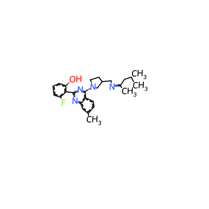 CC(CC(C)C)=NCC1CCN(c2nc(-c3c(O)cccc3F)nc3cc(C)ccc23)C1